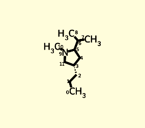 CCC[C@H]1CC(C(C)C)N(C)C1